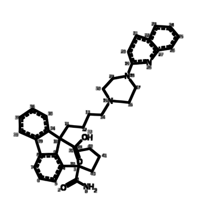 NC(=O)C1(c2cccc3c2C(CCCCN2CCN(c4ccc5ccccc5n4)CC2)(C(=O)O)c2ccccc2-3)CCCC1